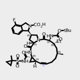 CC[C@@H]1C[C@@H](C)CC/C=C\[C@@H]2C[C@@]2(C(=O)NS(=O)(=O)C2(C)CC2)NC(=O)[C@@H]2C[C@@H](C3c4cccc(F)c4CN3C(=O)O)CN2C(=O)[C@H]1NC(=O)OC(C)(C)C